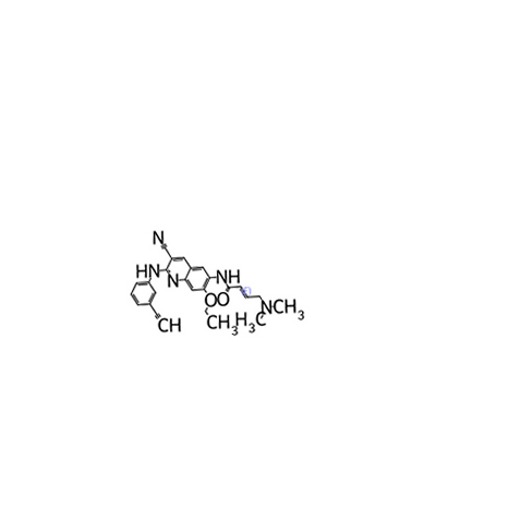 C#Cc1cccc(Nc2nc3cc(OCC)c(NC(=O)/C=C/CN(C)C)cc3cc2C#N)c1